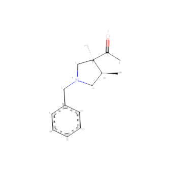 CC(=O)[C@]1(C)CN(Cc2ccccc2)C[C@@H]1C